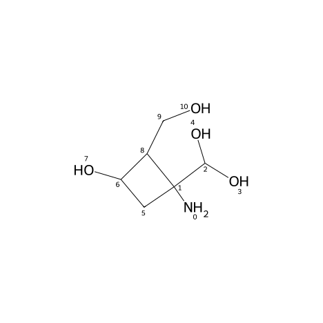 NC1(C(O)O)CC(O)C1CO